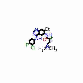 CCc1cc2ncnc(Nc3ccc(F)c(Cl)c3)c2cc1NC(=O)/C(F)=C\CN(C)C